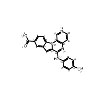 O=C(O)c1ccc2c(c1)cc1c(Nc3ccc(O)cc3)nc3ccncc3n12